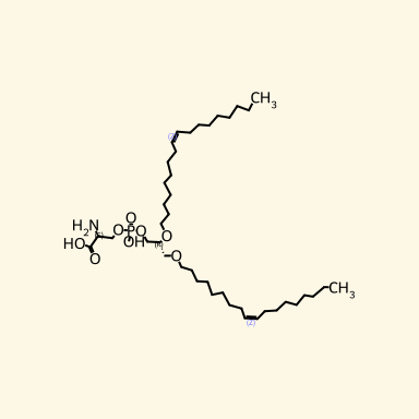 CCCCCCCC/C=C\CCCCCCCCOC[C@H](COP(=O)(O)OC[C@H](N)C(=O)O)OCCCCCCCC/C=C\CCCCCCCC